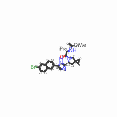 C=C(N[C@H](C(=O)N1CC2(CC2)C[C@H]1c1ncc(-c2ccc3cc(Br)ccc3c2)[nH]1)C(C)C)OC